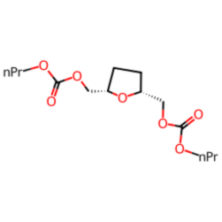 CCCOC(=O)OC[C@H]1CC[C@@H](COC(=O)OCCC)O1